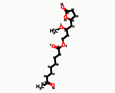 COC(CCOC(=O)CCCCCCC(C)=O)CC1CCC(=O)O1